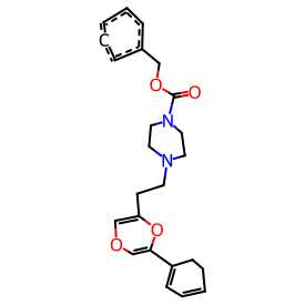 O=C(OCc1ccccc1)N1CCN(CCC2=COC=C(C3=CC=CCC3)O2)CC1